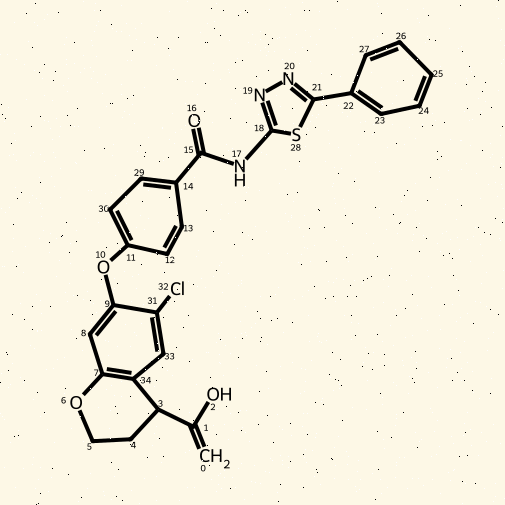 C=C(O)C1CCOc2cc(Oc3ccc(C(=O)Nc4nnc(-c5ccccc5)s4)cc3)c(Cl)cc21